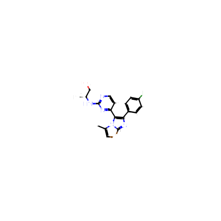 Cc1csc2nc(-c3ccc(F)cc3)c(-c3ccnc(N[C@H](CO)C(C)C)n3)n12